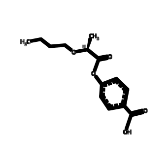 CCCCO[C@@H](C)C(=O)Oc1ccc(C(=O)O)cc1